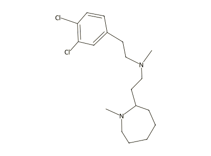 CN(CCc1ccc(Cl)c(Cl)c1)CCC1CCCCCN1C